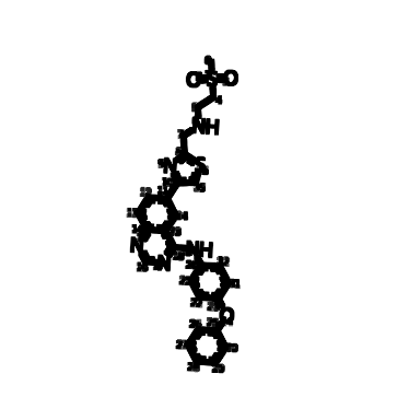 CS(=O)(=O)CCNCc1nc(-c2ccc3ncnc(Nc4ccc(Oc5ccccc5)cc4)c3c2)cs1